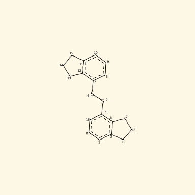 c1cc2c(c(SSc3cccc4c3CCC4)c1)CCC2